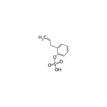 C=CCc1ccccc1OS(=O)(=O)O